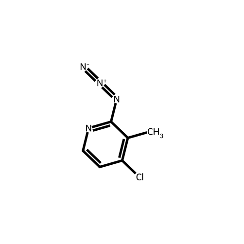 Cc1c(Cl)ccnc1N=[N+]=[N-]